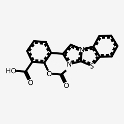 CC(=O)Oc1c(C(=O)O)cccc1-c1cn2c(n1)sc1ccccc12